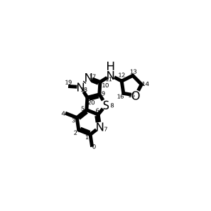 Cc1cc(C)c2c(n1)sc1c(NC3CCOC3)nn(C)c12